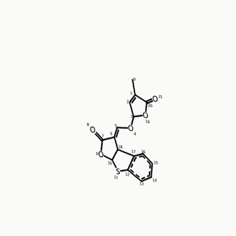 CC1=CC(O/C=C2/C(=O)OC3Sc4ccccc4C23)OC1=O